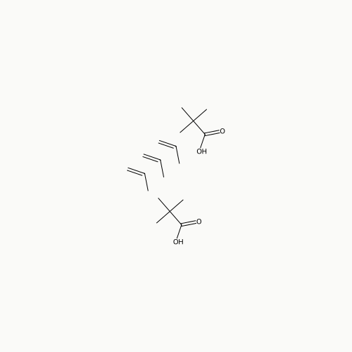 C=CC.C=CC.C=CC.CC(C)(C)C(=O)O.CC(C)(C)C(=O)O